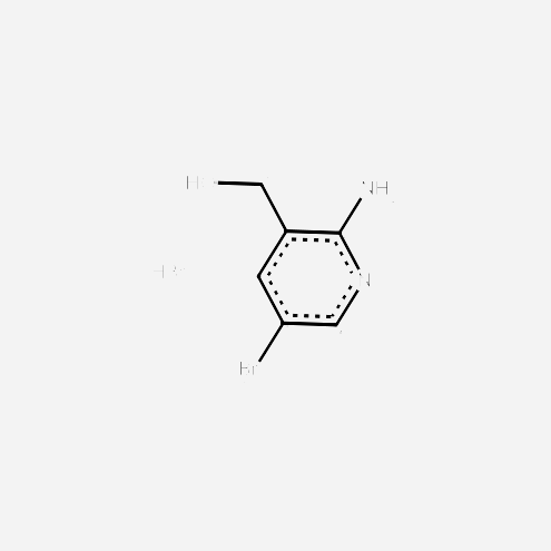 Br.Nc1ncc(Br)cc1CO